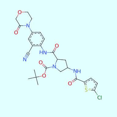 CC(C)(C)OC(=O)N1CC(NC(=O)c2ccc(Cl)s2)CC1C(=O)Nc1ccc(N2CCOCC2=O)cc1C#N